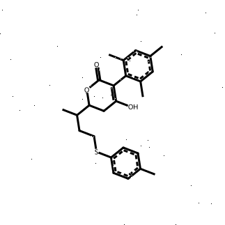 Cc1ccc(SCCC(C)C2CC(O)=C(c3c(C)cc(C)cc3C)C(=O)O2)cc1